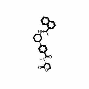 C[C@@H](N[C@H]1CCC[C@H](c2ccc(C(=O)N[C@@H]3CCOC3=O)cc2)C1)c1cccc2ccccc12